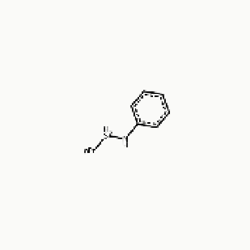 CCC[SiH2]Nc1ccccc1